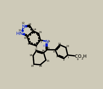 O=C(O)C1C=CC(/C(=N/c2ccc3[nH]ncc3c2)C2=CCCCC2)=CC1